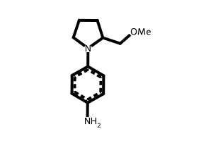 COCC1CCCN1c1ccc(N)cc1